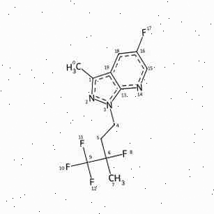 Cc1nn(CCC(C)(F)C(F)(F)F)c2ncc(F)cc12